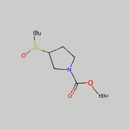 CC(C)(C)OC(=O)N1CCC([S+]([O-])C(C)(C)C)C1